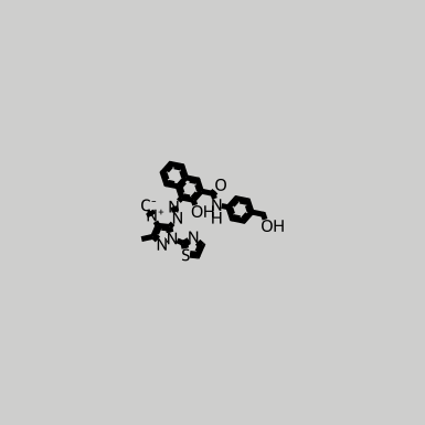 [C-]#[N+]c1c(C)nn(-c2nccs2)c1/N=N/c1c(O)c(C(=O)Nc2ccc(CO)cc2)cc2ccccc12